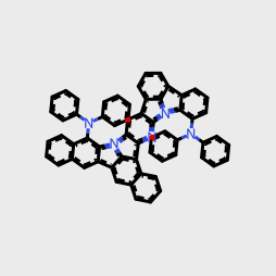 c1ccc(N(c2ccccc2)c2c3ccccc3cc3c4cc5ccccc5c5c6nc7c(cc6n(c23)c45)c2cccc3c4cccc(N(c5ccccc5)c5ccccc5)c4n7c23)cc1